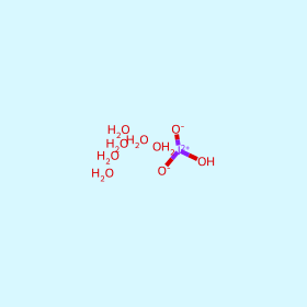 O.O.O.O.O.O.[O-][I+2]([O-])O